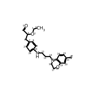 CCOC(C=O)Cc1ccc(NCCCN2CCOc3cc(F)ccc32)cc1